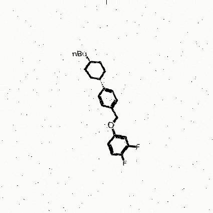 CCCC[C@H]1CC[C@H](c2ccc(COc3ccc(F)c(F)c3)cc2)CC1